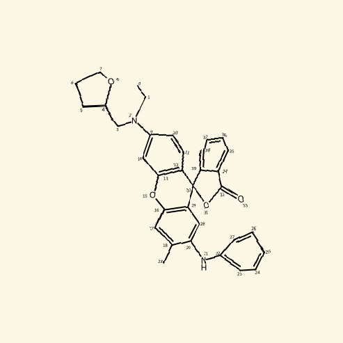 CCN(CC1CCCO1)c1ccc2c(c1)Oc1cc(C)c(Nc3ccccc3)cc1C21OC(=O)c2ccccc21